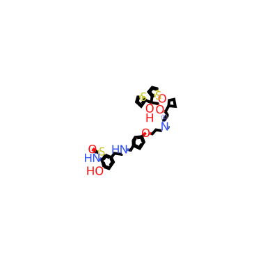 CN(/C=C/C(OC(=O)C(O)(c1cccs1)c1cccs1)C1CCC1)CCCOc1ccc(CNCCc2ccc(O)c3[nH]c(=O)sc23)cc1